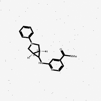 CNC(=O)c1ccnc(NC2[C@H]3CN(c4ccccc4)C[C@@H]23)c1